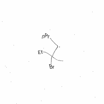 CCC[CH]C(C)(Br)CC